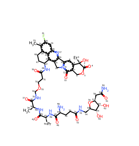 CC[C@@]1(O)C(=O)OCc2c1cc1n(c2=O)Cc2c-1nc1cc(F)c(C)c3c1c2[C@@H](NC(=O)CCOCNC(=O)[C@H](C)NC(=O)[C@@H](NC(=O)[C@@H](N)CCC(=O)NC[C@H]1O[C@@H](CC(N)=O)[C@H](O)[C@@H]1O)C(C)C)CC3